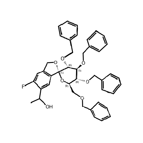 CC(O)c1cc2c(cc1F)CO[C@]21O[C@H](COCc2ccccc2)[C@@H](OCc2ccccc2)[C@H](OCc2ccccc2)[C@H]1OCc1ccccc1